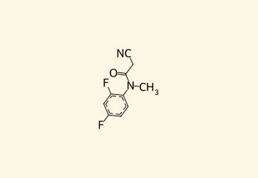 CN(C(=O)CC#N)c1ccc(F)cc1F